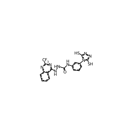 O=C(NNc1nc(C(F)(F)F)nc2ccccc12)Nc1cccc(-n2c(S)nnc2S)c1